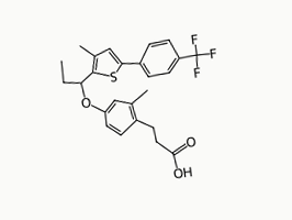 CCC(Oc1ccc(CCC(=O)O)c(C)c1)c1sc(-c2ccc(C(F)(F)F)cc2)cc1C